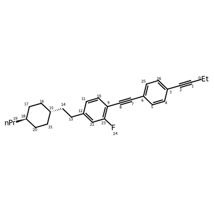 CCC#Cc1ccc(C#Cc2ccc(CC[C@H]3CC[C@H](CCC)CC3)cc2F)cc1